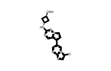 CO[C@H]1C[C@H](Nc2ncc3c(-c4cnc5ncc(Cl)n5c4)ccn3n2)C1